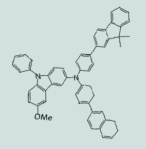 COc1ccc2c(c1)c1cc(N(C3=CC=C(c4ccc5c(c4)CCC=C5)CC3)c3ccc(-c4ccc5c(c4)C(C)(C)c4ccccc4-5)cc3)ccc1n2-c1ccccc1